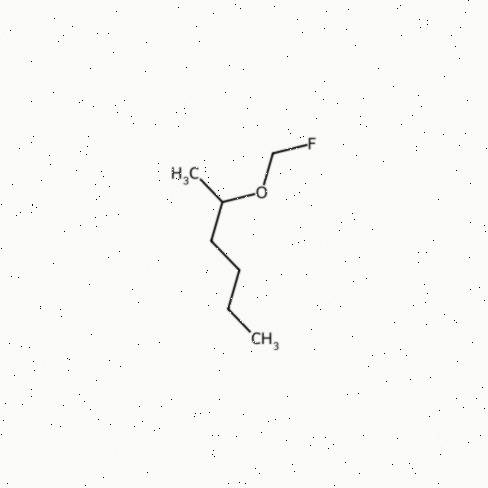 CCCCC(C)OCF